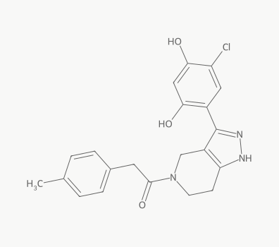 Cc1ccc(CC(=O)N2CCc3[nH]nc(-c4cc(Cl)c(O)cc4O)c3C2)cc1